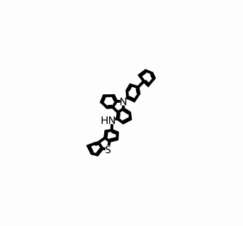 c1ccc(-c2ccc(-n3c4ccccc4c4c(Nc5ccc6sc7ccccc7c6c5)cccc43)cc2)cc1